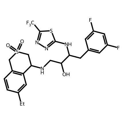 CCc1ccc2c(c1)C(NCC(O)C(Cc1cc(F)cc(F)c1)Nc1nnc(C(F)(F)F)s1)CS(=O)(=O)C2